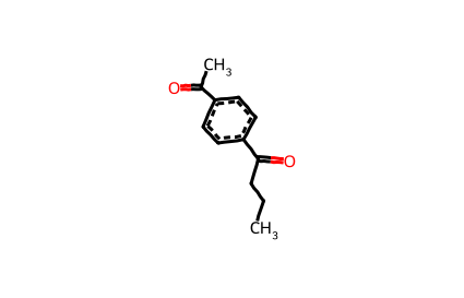 CCCC(=O)c1ccc(C(C)=O)cc1